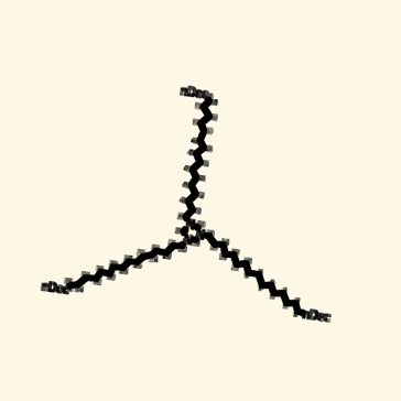 CCCCCCCCCCCCCCCCCCCCCCCCCCN1CN(CCCCCCCCCCCCCCCCCCCCCCCCCC)CN(CCCCCCCCCCCCCCCCCCCCCCCCCC)C1